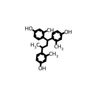 Cc1cc(O)ccc1C(C)CC(c1ccc(O)cc1C)c1ccc(O)cc1C